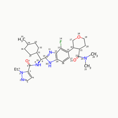 CCn1nccc1C(=O)N[C@H](c1nc2c(F)c(C3COCCC3C(=O)N(C)C)ccc2[nH]1)C1CCC(C)CC1